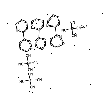 N#C[B-](C#N)(C#N)C#N.N#C[B-](C#N)(C#N)C#N.N#C[B-](C#N)(C#N)C#N.[Co+3].c1ccc(-c2ccccn2)nc1.c1ccc(-c2ccccn2)nc1.c1ccc(-c2ccccn2)nc1